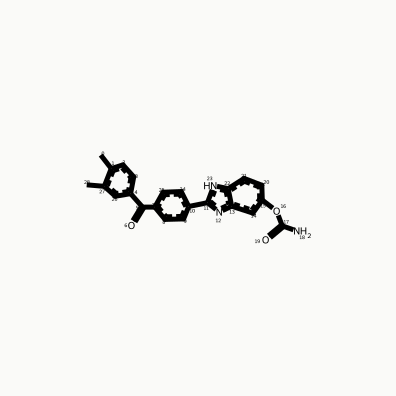 Cc1ccc(C(=O)c2ccc(-c3nc4cc(OC(N)=O)ccc4[nH]3)cc2)cc1C